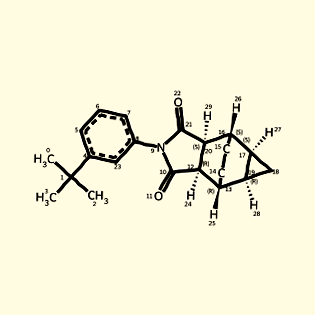 CC(C)(C)c1cccc(N2C(=O)[C@@H]3[C@@H]4CC[C@@H]([C@H]5C[C@H]54)[C@@H]3C2=O)c1